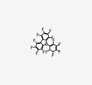 FC1=C(F)C(F)C(F)C(B2c3c(F)c(F)c(F)c(F)c3-c3c(F)c(F)c(F)c(F)c32)=C1F